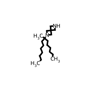 CCCCCCCC(C)(CCCCCC)N1CC2(CNC2)C1